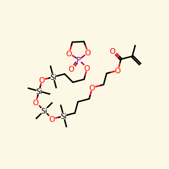 C=C(C)C(=O)OCCOCCC[Si](C)(C)O[Si](C)(C)O[Si](C)(C)O[Si](C)(C)CCCOP1(=O)OCCO1